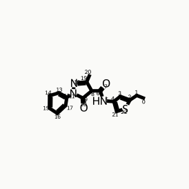 CCc1cc(NC(=O)C2C(=O)N(c3ccccc3)N=C2C)cs1